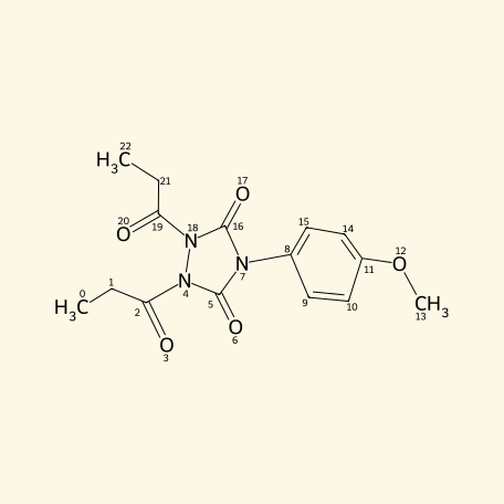 CCC(=O)n1c(=O)n(-c2ccc(OC)cc2)c(=O)n1C(=O)CC